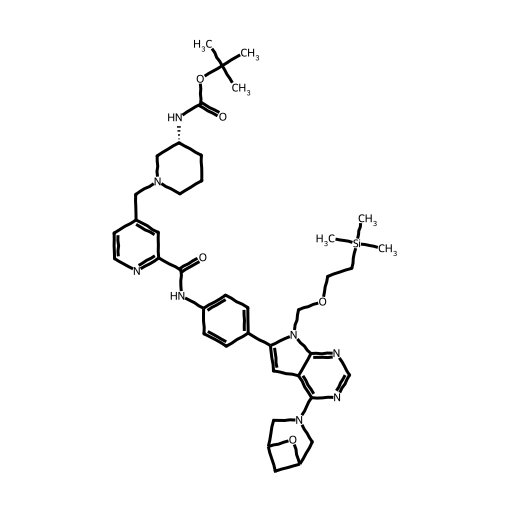 CC(C)(C)OC(=O)N[C@@H]1CCCN(Cc2ccnc(C(=O)Nc3ccc(-c4cc5c(N6CC7CC(C6)O7)ncnc5n4COCC[Si](C)(C)C)cc3)c2)C1